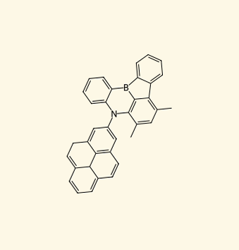 Cc1cc(C)c2c3c1-c1ccccc1B3c1ccccc1N2c1cc2c3c(c1)CC=C1C=CC=C(C=C2)C13